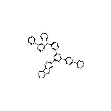 c1ccc(-c2ccc(-c3nc(-c4cccc(-n5c6ccccc6c6c(-c7ccccc7)cccc65)c4)nc(-c4ccc5c(c4)oc4ccccc45)n3)cc2)cc1